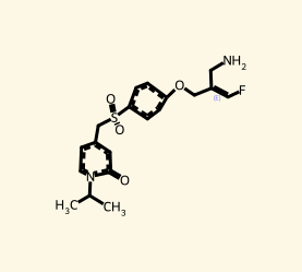 CC(C)n1ccc(CS(=O)(=O)c2ccc(OC/C(=C/F)CN)cc2)cc1=O